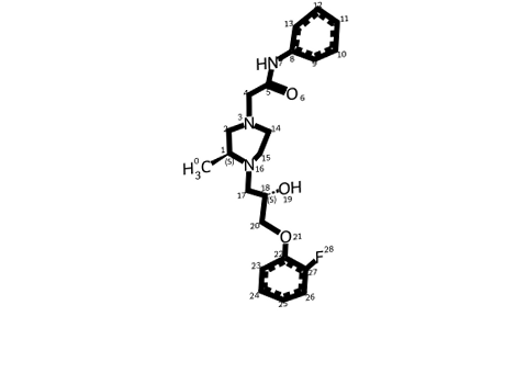 C[C@H]1CN(CC(=O)Nc2ccccc2)CCN1C[C@H](O)COc1ccccc1F